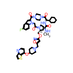 CNCC(=O)N[C@H](C(=O)N1CCN(C(=O)c2cc3cc(F)ccc3n2CC(=O)N2CCC[C@H]2COc2cc(CN3CCC(Oc4ccnc5ccsc45)CC3)on2)CC1)C1CCCCC1